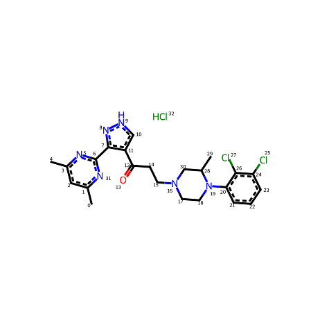 Cc1cc(C)nc(-c2n[nH]cc2C(=O)CCN2CCN(c3cccc(Cl)c3Cl)C(C)C2)n1.Cl